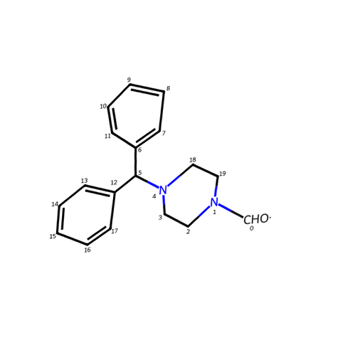 O=[C]N1CCN(C(c2ccccc2)c2ccccc2)CC1